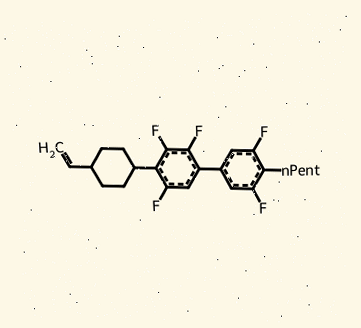 C=CC1CCC(c2c(F)cc(-c3cc(F)c(CCCCC)c(F)c3)c(F)c2F)CC1